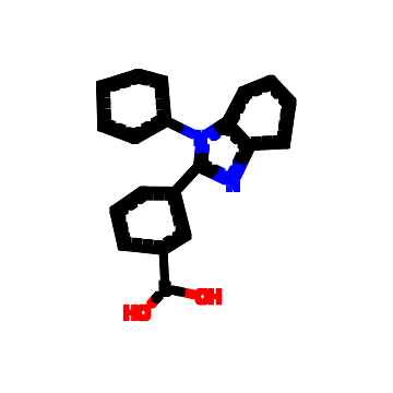 OB(O)c1cccc(-c2nc3ccccc3n2-c2ccccc2)c1